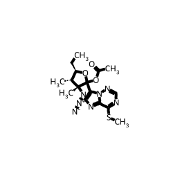 CC[C@H]1OC(OC(C)=O)(c2cnc3c(SC)ncnn23)[C@](C)(N=[N+]=[N-])[C@@H]1C